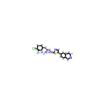 NC(CNc1ncc(-c2ccc3cnccc3c2)s1)Cc1ccc(Cl)c(F)c1